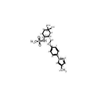 Cc1cnn(-c2ccc(OC[C@H]3CC(F)(F)CC[C@@H]3NS(C)(=O)=O)cc2)c1